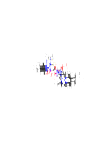 [2H]c1nc2c(s1)c(O)c(C(=O)N([2H])C([2H])CC([2H])N1C([2H])([2H])C([2H])([2H])C([2H])([2H])C([2H])(C)C1([2H])[2H])c(=O)n2C([2H])([2H])C([2H])([2H])[2H]